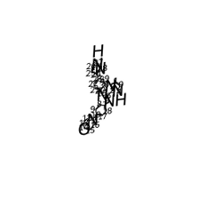 c1cn2c(n1)c(Nc1ccc(N3CCOCC3)cc1)nc1ccc(-c3cc[nH]n3)cc12